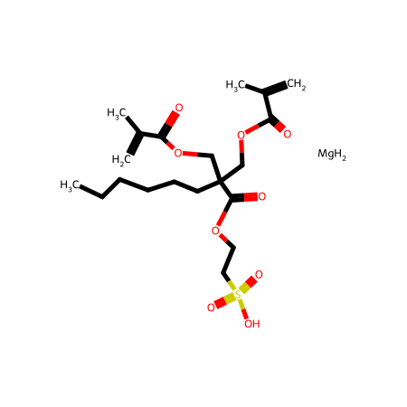 C=C(C)C(=O)OCC(CCCCCC)(COC(=O)C(=C)C)C(=O)OCCS(=O)(=O)O.[MgH2]